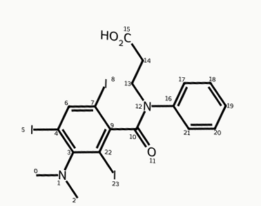 CN(C)c1c(I)cc(I)c(C(=O)N(CCC(=O)O)c2ccccc2)c1I